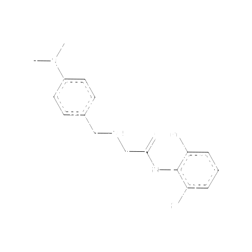 CC(C)c1cccc(C(C)C)c1NC(=O)CNCc1ccc(N(C)C)cc1